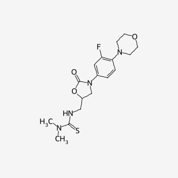 CN(C)C(=S)NCC1CN(c2ccc(N3CCOCC3)c(F)c2)C(=O)O1